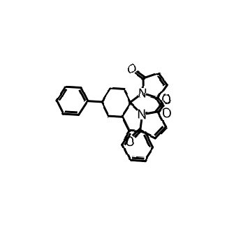 O=C1C=CC(=O)N1C1(N2C(=O)C=CC2=O)CCC(c2ccccc2)CC1c1ccccc1